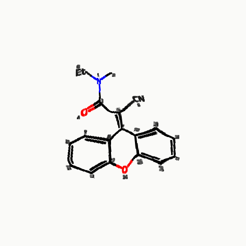 [CH2]CN(C)C(=O)C(C#N)=C1c2ccccc2Oc2ccccc21